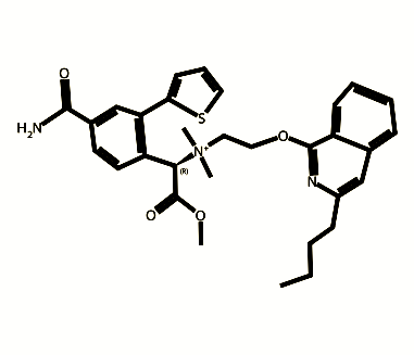 CCCCc1cc2ccccc2c(OCC[N+](C)(C)[C@@H](C(=O)OC)c2ccc(C(N)=O)cc2-c2cccs2)n1